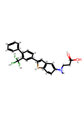 CN(CCC(=O)O)c1ccc2sc(-c3ccc(-c4ccccc4)c(C(F)(F)F)c3)cc2c1